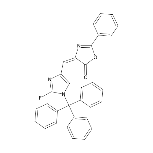 O=C1OC(c2ccccc2)=N/C1=C/c1cn(C(c2ccccc2)(c2ccccc2)c2ccccc2)c(F)n1